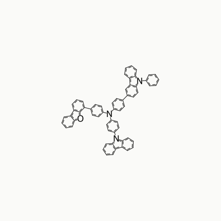 c1ccc(-n2c3ccccc3c3cc(-c4ccc(N(c5ccc(-c6cccc7c6oc6ccccc67)cc5)c5ccc(-n6c7ccccc7c7ccccc76)cc5)cc4)ccc32)cc1